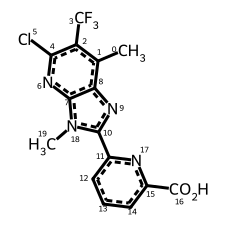 Cc1c(C(F)(F)F)c(Cl)nc2c1nc(-c1cccc(C(=O)O)n1)n2C